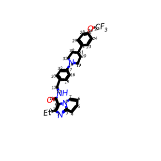 CCc1nc2ccccn2c1C(=O)NCc1ccc(N2CCC(c3ccc(OC(F)(F)F)cc3)CC2)cc1